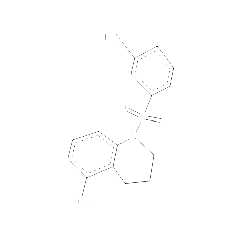 Cc1cccc2c1CCCN2S(=O)(=O)c1cccc(N)c1